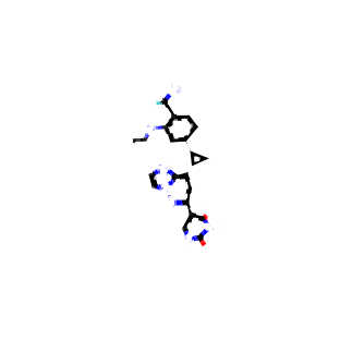 N=C(F)c1ccc([C@H]2C[C@@H]2c2cc(-c3c[nH]c(=O)[nH]c3=O)nn3ccnc23)cc1NCC(F)(F)F